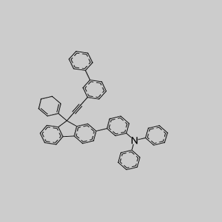 C(#CC1(C2=CCCC=C2)c2ccccc2-c2ccc(-c3cccc(N(c4ccccc4)c4ccccc4)c3)cc21)c1cccc(-c2ccccc2)c1